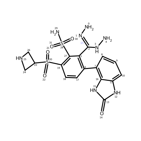 N/N=C(\NN)c1c(-c2cccc3[nH]c(=O)[nH]c23)ccc(S(=O)(=O)C2CNC2)c1S(N)(=O)=O